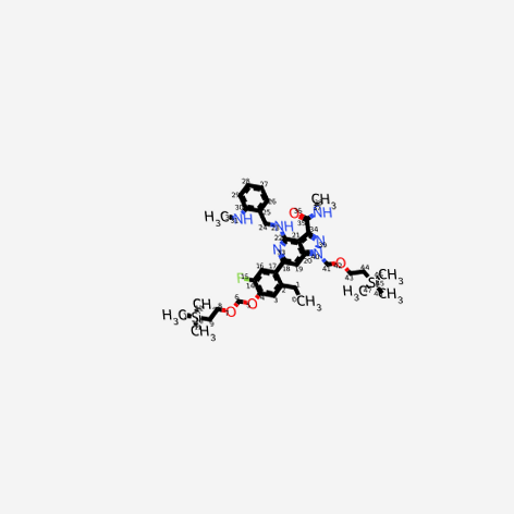 CCc1cc(OCOCC[Si](C)(C)C)c(F)cc1-c1cc2c(c(NCc3ccccc3NC)n1)c(C(=O)NC)nn2COCC[Si](C)(C)C